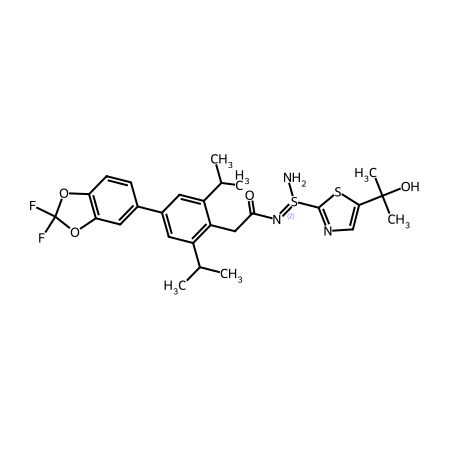 CC(C)c1cc(-c2ccc3c(c2)OC(F)(F)O3)cc(C(C)C)c1CC(=O)/N=S(\N)c1ncc(C(C)(C)O)s1